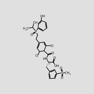 CC(C)P(=O)(CCC1=CC(Cl)C(C(=O)N[C@@H](Cc2cccc(S(C)(=O)=O)c2)C(=O)O)C(Cl)=C1)c1cccc(O)c1